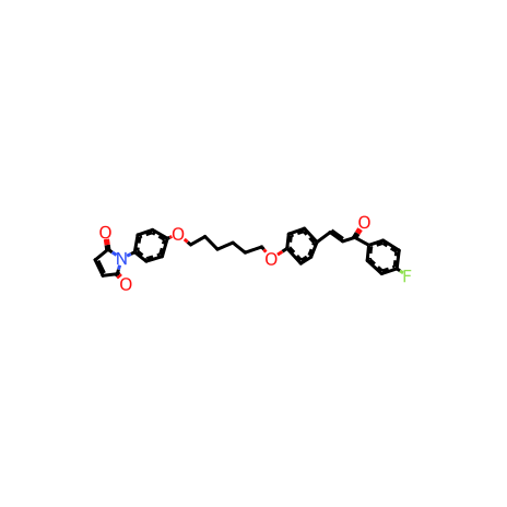 O=C(C=Cc1ccc(OCCCCCCOc2ccc(N3C(=O)C=CC3=O)cc2)cc1)c1ccc(F)cc1